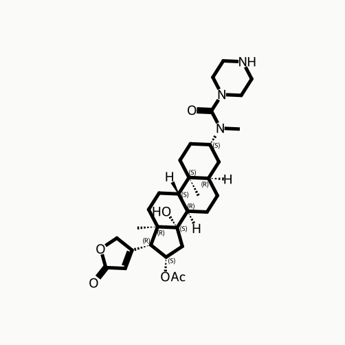 CC(=O)O[C@H]1C[C@]2(O)[C@@H]3CC[C@@H]4C[C@@H](N(C)C(=O)N5CCNCC5)CC[C@]4(C)[C@H]3CC[C@]2(C)[C@H]1C1=CC(=O)OC1